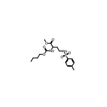 CCCCOC(=O)NC(CCNS(=O)(=O)c1ccc(C)cc1)C(=O)OC